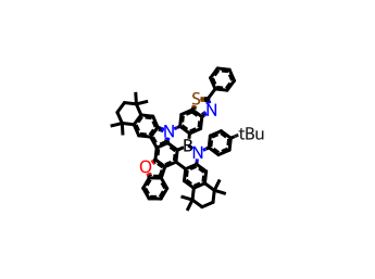 CC(C)(C)c1ccc(N2B3c4cc5nc(-c6ccccc6)sc5cc4-n4c5cc6c(cc5c5c7oc8ccccc8c7c(c3c54)-c3cc4c(cc32)C(C)(C)CCC4(C)C)C(C)(C)CCC6(C)C)cc1